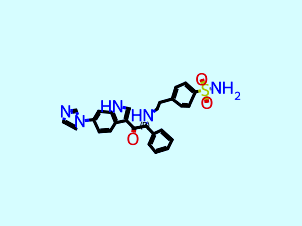 NS(=O)(=O)c1ccc(CCN[C@@H](C(=O)c2c[nH]c3cc(-n4ccnc4)ccc23)c2ccccc2)cc1